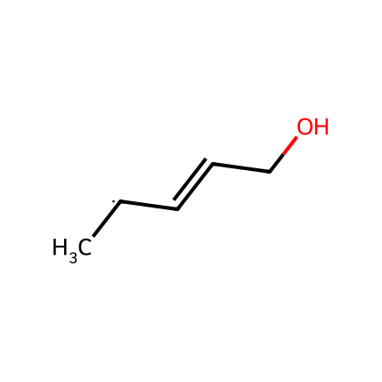 C[CH]C=CCO